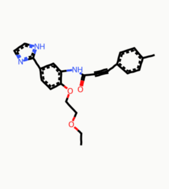 CCOCCOc1ccc(-c2ncc[nH]2)cc1NC(=O)C#Cc1ccc(C)cc1